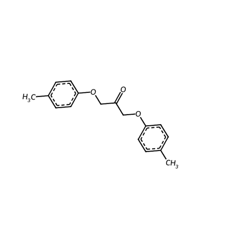 Cc1ccc(OCC(=O)COc2ccc(C)cc2)cc1